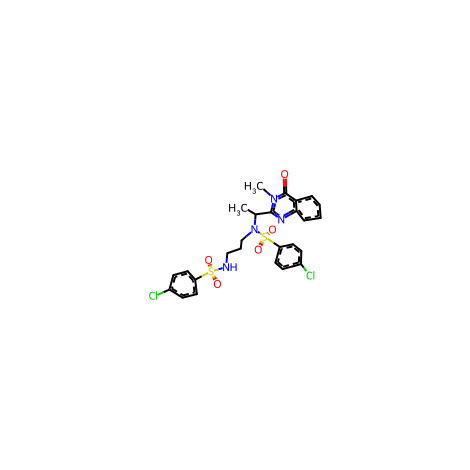 CC(c1nc2ccccc2c(=O)n1C)N(CCCNS(=O)(=O)c1ccc(Cl)cc1)S(=O)(=O)c1ccc(Cl)cc1